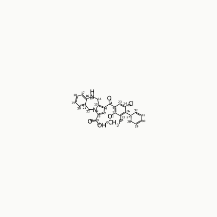 COc1c(C(=O)c2cc(C(=O)O)n3c2CNc2ccccc2C3)cc(Cl)c(-c2ccccc2)c1F